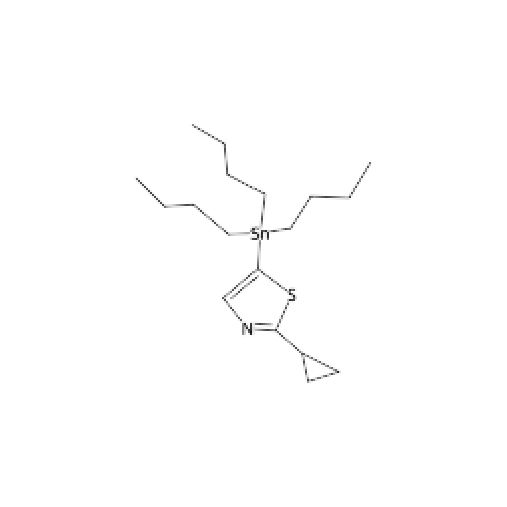 CCC[CH2][Sn]([CH2]CCC)([CH2]CCC)[c]1cnc(C2CC2)s1